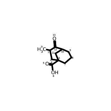 CC1CC2(C(=O)O)CCCC(C2)C1=O